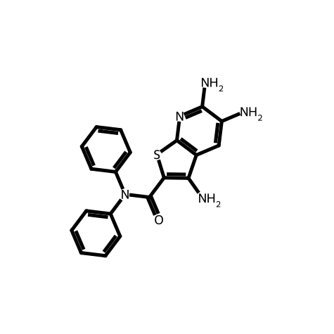 Nc1cc2c(N)c(C(=O)N(c3ccccc3)c3ccccc3)sc2nc1N